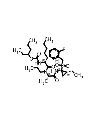 CCCCC[C@H](NC(=O)OC(CC)CCC)C(=O)N(CCC)[C@@H](C)C(=O)N[C@]1(P(=O)(O)Cc2ccccc2F)C[C@H]1CC